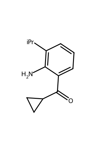 CC(C)c1cccc(C(=O)C2CC2)c1N